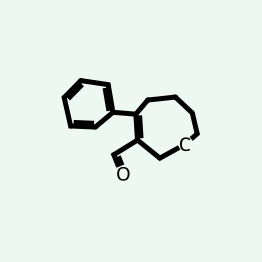 O=C/C1=C(\c2ccccc2)CCCCCC1